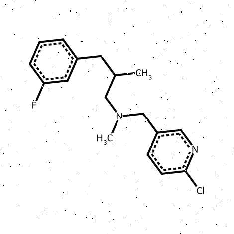 CC(Cc1cccc(F)c1)CN(C)Cc1ccc(Cl)nc1